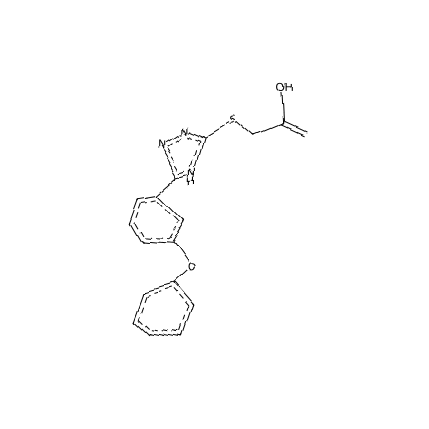 C=C(O)CSc1nnc(-c2cccc(Oc3ccccc3)c2)[nH]1